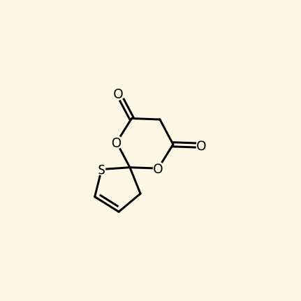 O=C1CC(=O)OC2(CC=CS2)O1